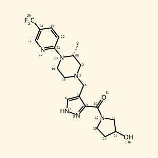 C[C@@H]1CN(Cc2c[nH]nc2C(=O)N2CCC(O)C2)CCN1c1ccc(C(F)(F)F)cn1